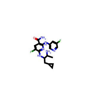 CC(N)C(CC1CC1)Nc1nc(Nc2cncc(F)c2)c(C(N)=O)cc1F